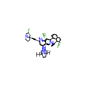 C#Cc1c(F)ccc2cccc(-c3ncc4c(N5C[C@H]6CC[C@@H](C5)N6)cc(C#CC56CCCN5CC(F)C6)nc4c3F)c12